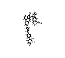 CCOc1cc([C@@H](CS(C)(=O)=O)N2C(=O)c3cccc(N4CCN(C5CC6(C5)CN(c5ccc(C7CCC(=O)NC7=O)cc5)C6)CC4)c3C2=O)ccc1OC